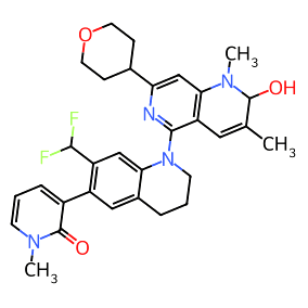 CC1=Cc2c(cc(C3CCOCC3)nc2N2CCCc3cc(-c4cccn(C)c4=O)c(C(F)F)cc32)N(C)C1O